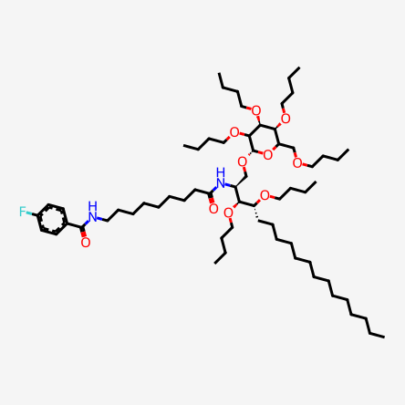 CCCCCCCCCCCCCC[C@@H](OCCCC)[C@@H](OCCCC)[C@H](CO[C@H]1OC(COCCCC)[C@H](OCCCC)[C@H](OCCCC)C1OCCCC)NC(=O)CCCCCCCCNC(=O)c1ccc(F)cc1